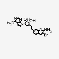 Nc1nc2cc(CCC3=C[C@@H](n4ccc5c(N)ncnc54)[C@H](O)[C@@H]3O)ccc2cc1Br